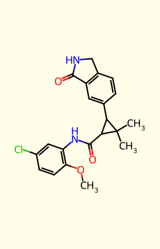 COc1ccc(Cl)cc1NC(=O)C1C(c2ccc3c(c2)C(=O)NC3)C1(C)C